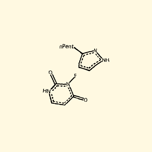 CCCCCc1cc[nH]n1.O=c1cc[nH]c(=O)n1F